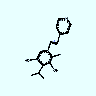 CC(C)c1c(O)cc(/C=C/c2ccncc2)c(F)c1O